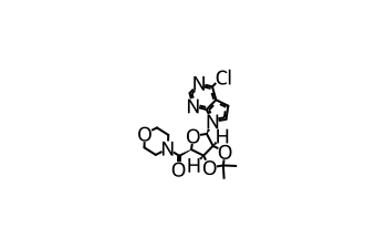 CC1(C)O[C@@H]2[C@H](O1)[C@@H](C(=O)N1CCOCC1)O[C@H]2n1ccc2c(Cl)ncnc21